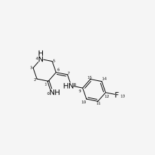 N=C1CCNC/C1=C/Nc1ccc(F)cc1